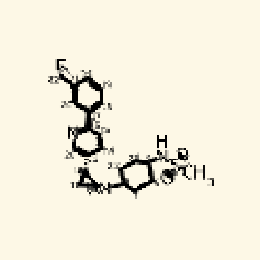 CS(=O)(=O)NC1CCC(N[C@H]2C[C@@H]2c2ccc(-c3cccc(CF)c3)nc2)CC1